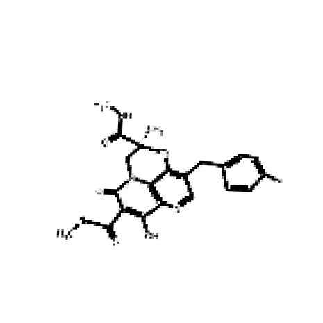 CNC(=O)c1c(O)c2ncc(Cc3ccc(F)cc3)c3c2n(c1=O)C[C@@](C)(C(=O)NC)O3